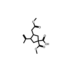 C=C(C)C1CC(C(=O)O)(C(=O)OC)CC1CC(=O)OC